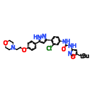 CC(C)(C)c1cc(NC(=O)Nc2ccc(-c3cc(-c4ccc(OCCN5CCOCC5)cc4)[nH]n3)c(Cl)c2)no1